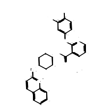 Cl.O=C(N[C@H]1CC[C@@H](Nc2ccc3ccccc3n2)CC1)c1cccnc1Oc1ccc(F)c(F)c1